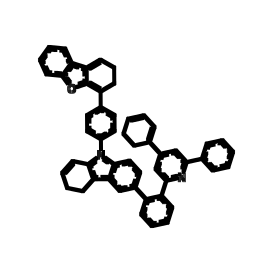 C1=CCCC(c2cc(-c3ccccc3)nc(-c3ccccc3-c3ccc4c(c3)c3c(n4-c4ccc(C5=c6oc7ccccc7c6=CCC5)cc4)C=CCC3)c2)=C1